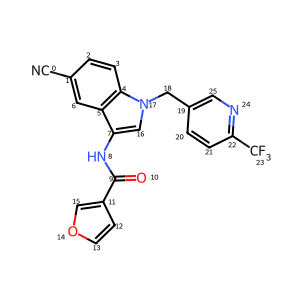 N#Cc1ccc2c(c1)c(NC(=O)c1ccoc1)cn2Cc1ccc(C(F)(F)F)nc1